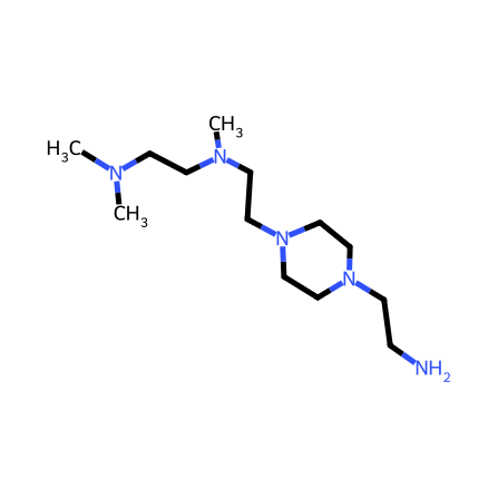 CN(C)CCN(C)CCN1CCN(CCN)CC1